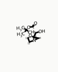 CC(C)(C)OC=O.OCC12CN1CCO2